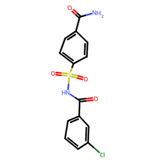 NC(=O)c1ccc(S(=O)(=O)NC(=O)c2cccc(Cl)c2)cc1